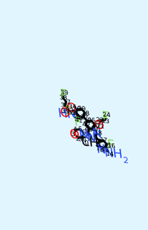 C[C@@H]1COCCN1c1nc(-c2cnc(N)c(F)c2)nc2c(OCCF)cc(-c3cccc(NS(=O)(=O)CCCF)c3F)cc12